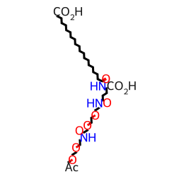 CC(=O)COCCOCCNC(=O)COCCOCCNC(=O)CC[C@H](NC(=O)CCCCCCCCCCCCCCCCCCCC(=O)O)C(=O)O